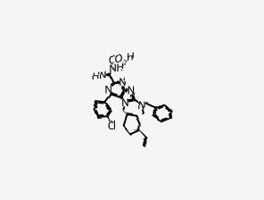 C=C[C@H]1CC[C@H](Cn2c(N(C)Cc3ccccc3)nc3nc(C(=N)NC(=O)O)nc(-c4cccc(Cl)c4)c32)CC1